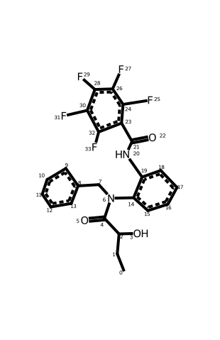 CCC(O)C(=O)N(Cc1ccccc1)c1ccccc1NC(=O)c1c(F)c(F)c(F)c(F)c1F